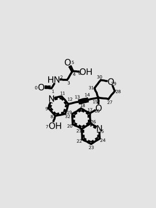 O=CNCC(=O)O.Oc1cncc(C#CC2(Oc3cccc4cccnc34)CCOCC2)c1